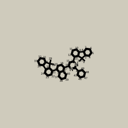 CC1(C)c2ccccc2-c2cccc(-c3cc(-c4ccc(-c5cccc6c5C(C)(C)c5ccccc5-6)c5ccccc45)nc(-c4ccccc4)n3)c21